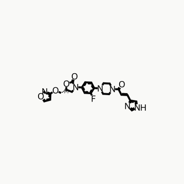 O=C(C=Cc1c[nH]cn1)N1CCN(c2ccc(N3C[C@H](COc4ccon4)OC3=O)cc2F)CC1